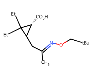 CCC1(CC)C(CC(C)=NOCC(C)(C)C)[C@H]1C(=O)O